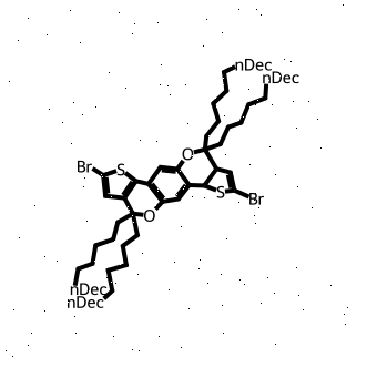 CCCCCCCCCCCCCCCC1(CCCCCCCCCCCCCCC)Oc2cc3c(cc2-c2sc(Br)cc21)OC(CCCCCCCCCCCCCCC)(CCCCCCCCCCCCCCC)C1C=C(Br)SC31